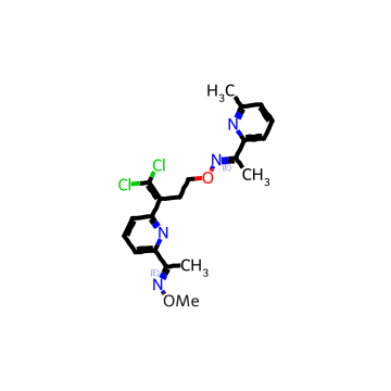 CO/N=C(\C)c1cccc(C(CCO/N=C(\C)c2cccc(C)n2)=C(Cl)Cl)n1